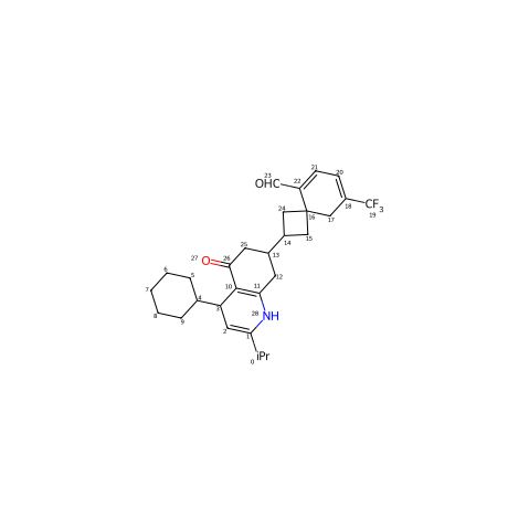 CC(C)C1=CC(C2CCCCC2)C2=C(CC(C3CC4(CC(C(F)(F)F)=CC=C4C=O)C3)CC2=O)N1